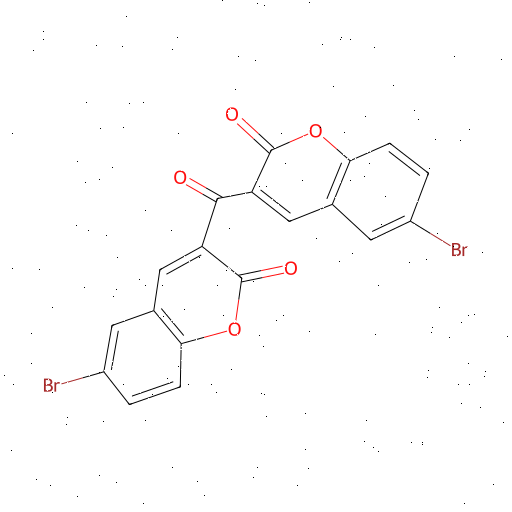 O=C(c1cc2cc(Br)ccc2oc1=O)c1cc2cc(Br)ccc2oc1=O